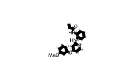 C=CC(=O)Nc1ccccc1Nc1cc(Oc2cccc(OC)c2)ccn1